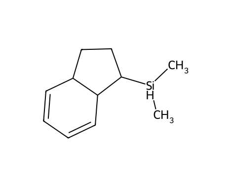 C[SiH](C)C1CCC2C=CC=CC21